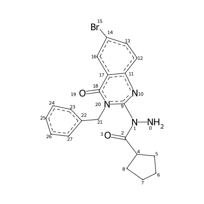 NN(C(=O)C1CCCC1)c1nc2ccc(Br)cc2c(=O)n1Cc1ccccc1